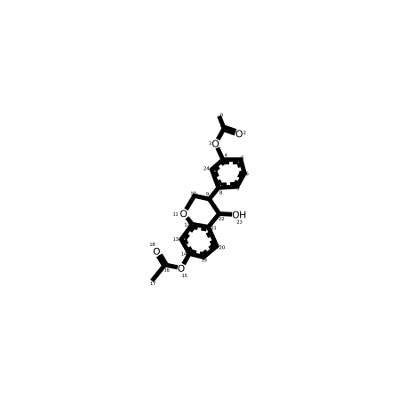 CC(=O)Oc1cccc(C2COc3cc(OC(C)=O)ccc3C2O)c1